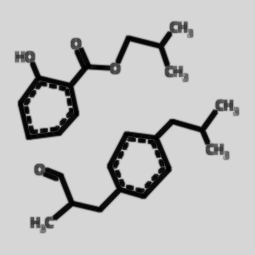 CC(C)COC(=O)c1ccccc1O.CC(C)Cc1ccc(CC(C)C=O)cc1